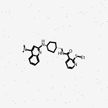 CCSc1ncccc1C(=O)NC[C@H]1CC[C@@H](Nc2cc(N(C)C)c3ccccc3n2)CC1